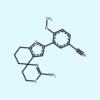 COc1ccc(C#N)cc1-c1cc2c(s1)CCCC21CCSC(N)=N1